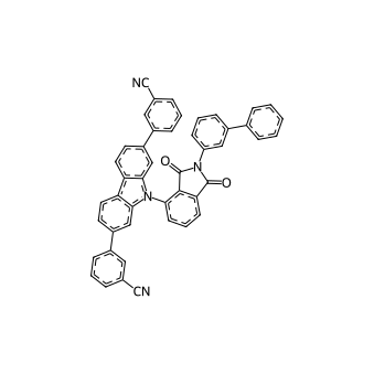 N#Cc1cccc(-c2ccc3c4ccc(-c5cccc(C#N)c5)cc4n(-c4cccc5c4C(=O)N(c4cccc(-c6ccccc6)c4)C5=O)c3c2)c1